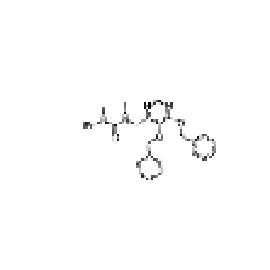 CC(C)N(C)C(=O)N(I)Cc1ncnc(OCc2ccccc2)c1OCc1ccccc1